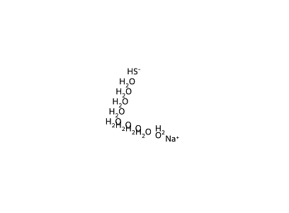 O.O.O.O.O.O.O.O.O.[Na+].[SH-]